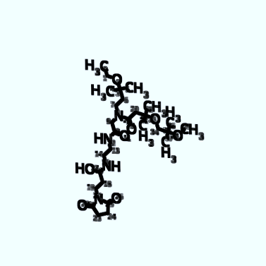 CCOC(C)(C)CCN(CC(=O)NCCNC(O)CCN1C(=O)CCC1=O)C(=O)CC(C)(C)OCC(C)(C)OC